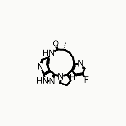 C[C@@H]1CCc2ncc(F)cc2[C@H]2CCCN2c2n[nH]c3ncc(cc23)NC1=O